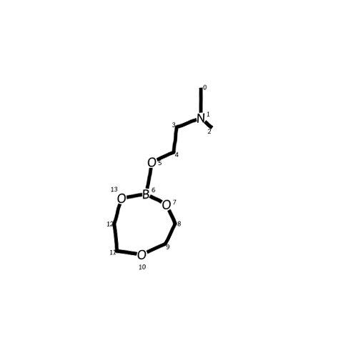 CN(C)CCOB1OCCOCCO1